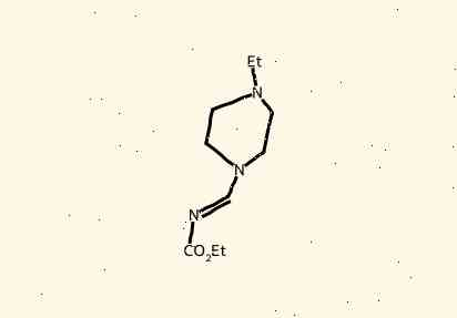 CCOC(=O)/N=C/N1CCN(CC)CC1